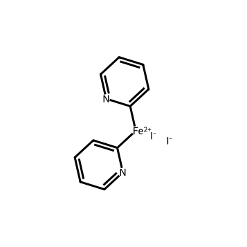 [I-].[I-].c1cc[c]([Fe+2][c]2ccccn2)nc1